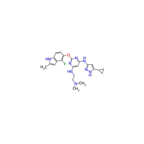 Cc1cc2c(F)c(Oc3nc(NCCN(C)C)cc(Nc4cc(C5CC5)[nH]n4)n3)ccc2[nH]1